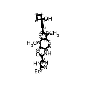 CCc1nnc(C(=O)N[C@H]2CSc3c(sc(C#CC4(O)CCC4)c3C)N(C)C2=O)[nH]1